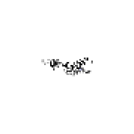 CO/N=C(\C(=O)N[C@@H]1C(=O)N2C(OC(=O)O)=C(CSc3nn4c(=O)cc(C)nc4s3)CS[C@H]12)c1csc(N)n1